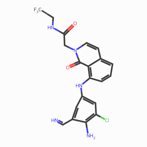 N=Cc1cc(Nc2cccc3ccn(CC(=O)NCC(F)(F)F)c(=O)c23)cc(Cl)c1N